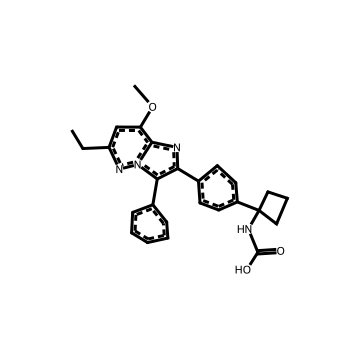 CCc1cc(OC)c2nc(-c3ccc(C4(NC(=O)O)CCC4)cc3)c(-c3ccccc3)n2n1